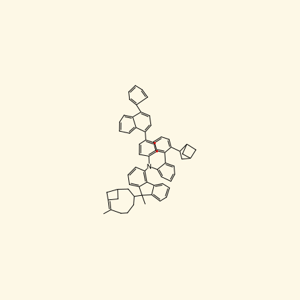 CC1=C2CC(C2)CC(C2(C)c3ccccc3-c3c(N(c4ccc(-c5ccc(-c6ccccc6)c6ccccc56)cc4)c4ccccc4-c4ccccc4C4CC5CC4C5)cccc32)CCC1